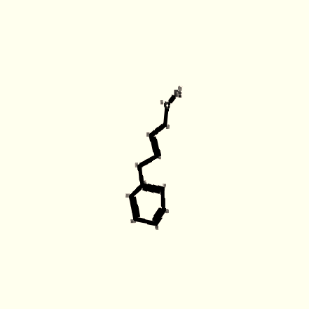 [CH2]COCC=CCc1ccccc1